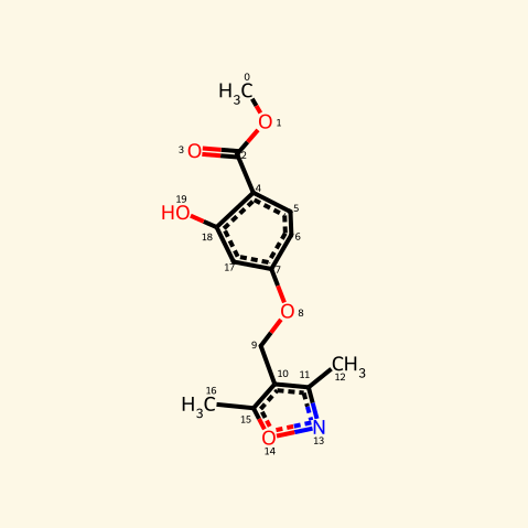 COC(=O)c1ccc(OCc2c(C)noc2C)cc1O